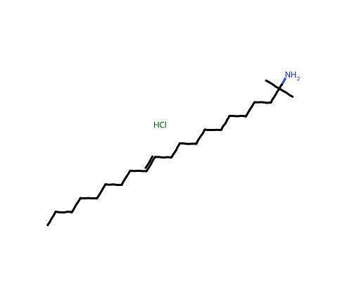 CCCCCCCCC=CCCCCCCCCCC(C)(C)N.Cl